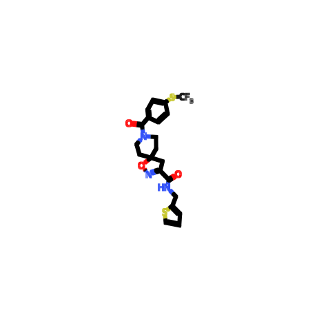 O=C(NCc1cccs1)C1=NOC2(CCN(C(=O)c3ccc(SC(F)(F)F)cc3)CC2)C1